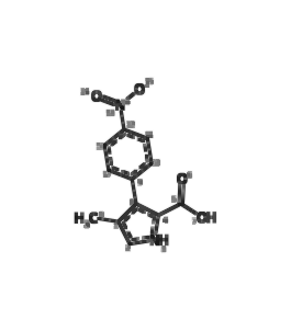 Cc1c[nH]c(C(=O)O)c1-c1ccc([N+](=O)[O-])cc1